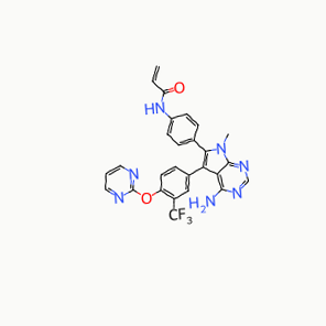 C=CC(=O)Nc1ccc(-c2c(-c3ccc(Oc4ncccn4)c(C(F)(F)F)c3)c3c(N)ncnc3n2C)cc1